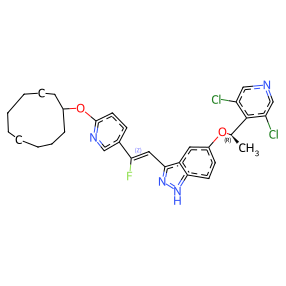 C[C@@H](Oc1ccc2[nH]nc(/C=C(\F)c3ccc(OC4CCCCCCCCC4)nc3)c2c1)c1c(Cl)cncc1Cl